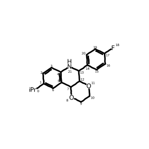 CC(C)c1ccc2c(c1)C1OCCOC1C(c1ccc(F)cc1)N2